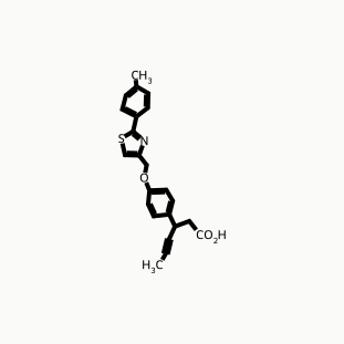 CC#CC(CC(=O)O)c1ccc(OCc2csc(-c3ccc(C)cc3)n2)cc1